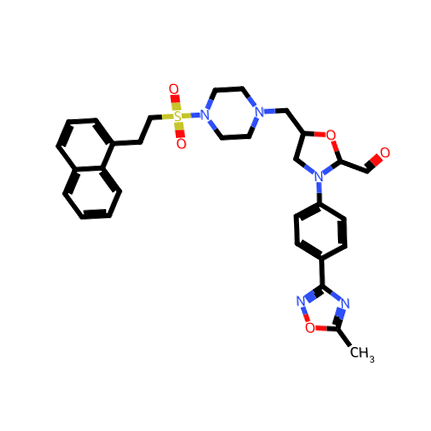 Cc1nc(-c2ccc(N3CC(CN4CCN(S(=O)(=O)CCc5cccc6ccccc56)CC4)OC3C=O)cc2)no1